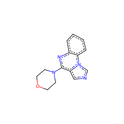 c1ccc2c(c1)nc(N1CCOCC1)c1cncn12